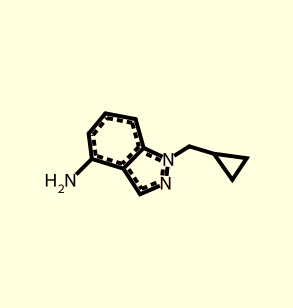 Nc1cccc2c1cnn2CC1CC1